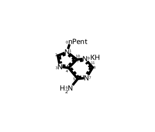 CCCCCn1cnc2c(N)ncnc21.[KH]